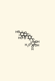 CC1CC(Oc2ccc(-c3coc4cc(O)cc(O)c4c3=O)cc2)C(O)C(O)C1O